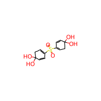 O=S(=O)(C1=CCC(O)(O)C=C1)C1=CCC(O)(O)C=C1